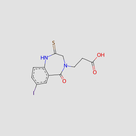 O=C(O)CCN1CC(=S)Nc2ccc(I)cc2C1=O